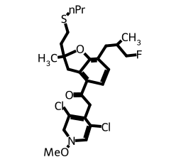 CCCSCCC1(C)Cc2c(C(=O)CC3=C(Cl)CN(OC)C=C3Cl)ccc(CC(C)CF)c2O1